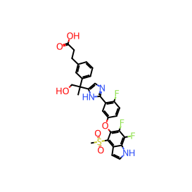 CC(CO)(c1cccc(CCC(=O)O)c1)c1cnc(-c2cc(Oc3c(F)c(F)c4[nH]ccc4c3S(C)(=O)=O)ccc2F)[nH]1